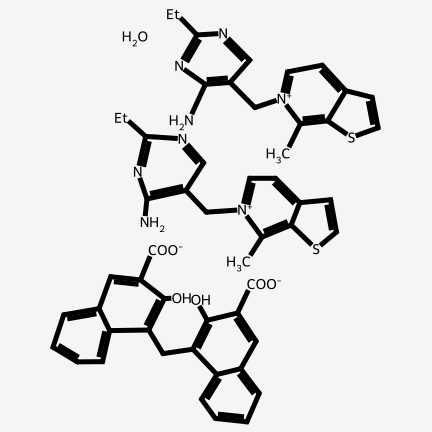 CCc1ncc(C[n+]2ccc3ccsc3c2C)c(N)n1.CCc1ncc(C[n+]2ccc3ccsc3c2C)c(N)n1.O.O=C([O-])c1cc2ccccc2c(Cc2c(O)c(C(=O)[O-])cc3ccccc23)c1O